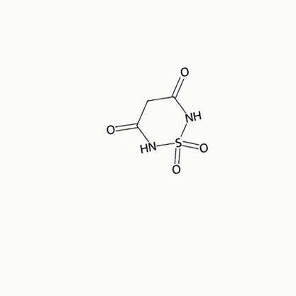 O=C1CC(=O)NS(=O)(=O)N1